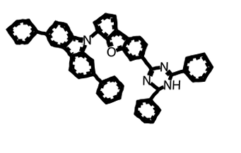 c1ccc(C2=NC(c3ccc4c(c3)oc3c(-n5c6ccc(-c7ccccc7)cc6c6ccc(-c7ccccc7)cc65)cccc34)=NC(c3ccccc3)N2)cc1